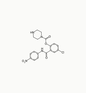 O=C(Nc1ccc([N+](=O)[O-])cc1)c1cc(Cl)ccc1OC(=O)N1CCNCC1